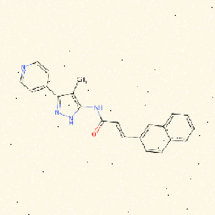 Cc1c(-c2ccncc2)n[nH]c1NC(=O)C=Cc1ccc2ccccc2c1